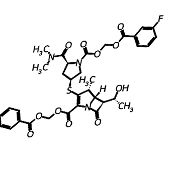 C[C@@H](O)[C@H]1C(=O)N2C(C(=O)OCOC(=O)c3cccc(F)c3)=C(S[C@H]3C[C@@H](C(=O)N(C)C)N(C(=O)OCOC(=O)c4cccc(F)c4)C3)[C@H](C)[C@H]12